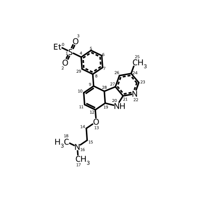 CCS(=O)(=O)c1cccc(C2=CC=C(OCCN(C)C)C3Nc4ncc(C)cc4C23)c1